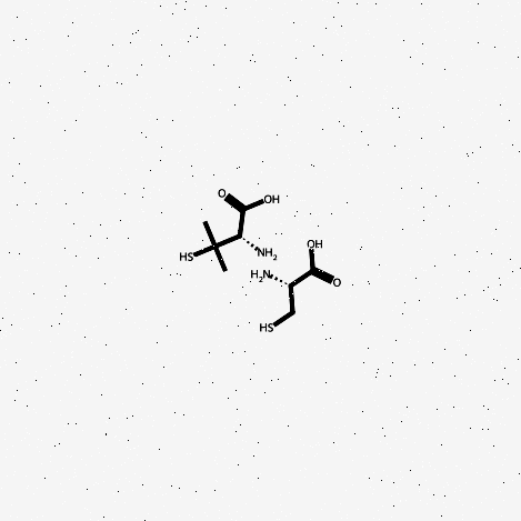 CC(C)(S)[C@@H](N)C(=O)O.N[C@@H](CS)C(=O)O